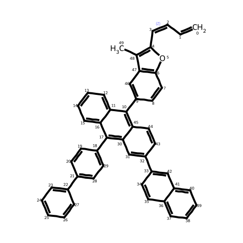 C=C/C=C\c1oc2ccc(-c3c4ccccc4c(-c4ccc(-c5ccccc5)cc4)c4cc(-c5ccc6ccccc6c5)ccc34)cc2c1C